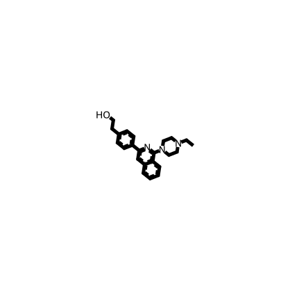 CCN1CCN(c2nc(-c3ccc(CCO)cc3)cc3ccccc23)CC1